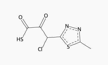 Cc1nnc(C(Cl)C(=O)C(=O)S)s1